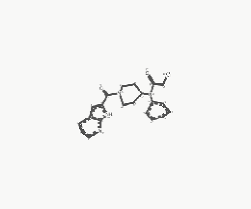 O=C(c1cc2cccnc2[nH]1)N1CCC(N(C(=O)CCl)c2ccccc2)CC1